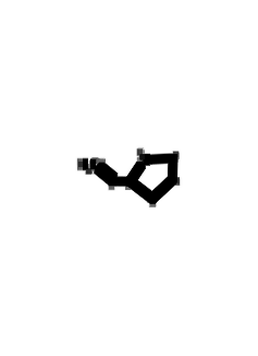 C=CC1CCC[N]1